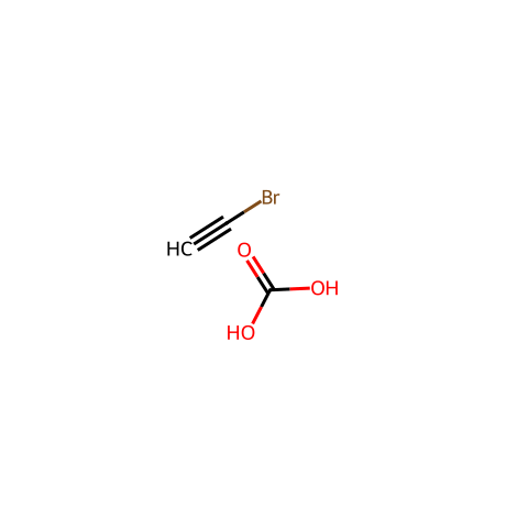 C#CBr.O=C(O)O